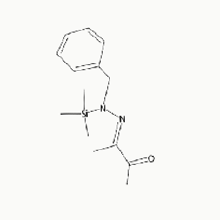 CC(=O)/C(C)=N/N(Cc1ccccc1)[Si](C)(C)C